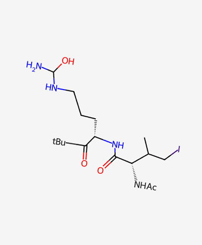 CC(=O)N[C@H](C(=O)N[C@@H](CCCNC(N)O)C(=O)C(C)(C)C)C(C)CI